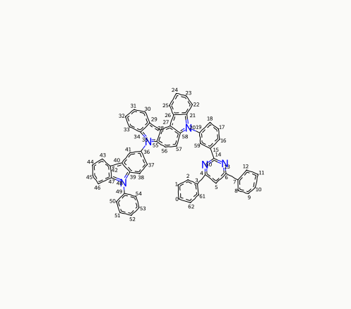 c1ccc(-c2cc(-c3ccccc3)nc(-c3cccc(-n4c5ccccc5c5c6c7ccccc7n(-c7ccc8c(c7)c7ccccc7n8-c7ccccc7)c6ccc54)c3)n2)cc1